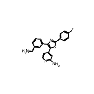 NCc1cccc(-c2nc(-c3ccc(F)cc3)sc2-c2ccnc(N)c2)c1